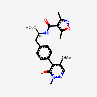 COc1cnn(C)c(=O)c1-c1ccc(C[C@H](NC(=O)c2c(C)noc2C)C(=O)O)cc1